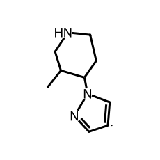 CC1CNCCC1n1c[c]cn1